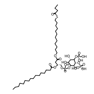 CCCCCCCCCCCCCCCC(=O)O[C@@H](COP(=O)(O)OC1C(O)[C@H](O)C(OP(=O)(O)O)[C@H](OP(=O)(O)O)[C@@H]1O)CC(=O)OCCCCCCCCCCCCSC(=O)CCC